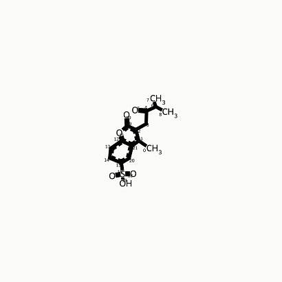 Cc1c(CC(=O)C(C)C)c(=O)oc2ccc(S(=O)(=O)O)cc12